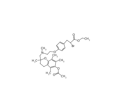 CCOC(=O)C(Br)Cc1ccc(OCCN(C)CC2(C)CCc3c(C)c(OC(C)=O)c(C)c(C)c3O2)cc1